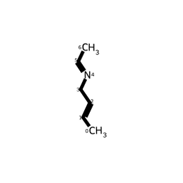 CC=CCN=CC